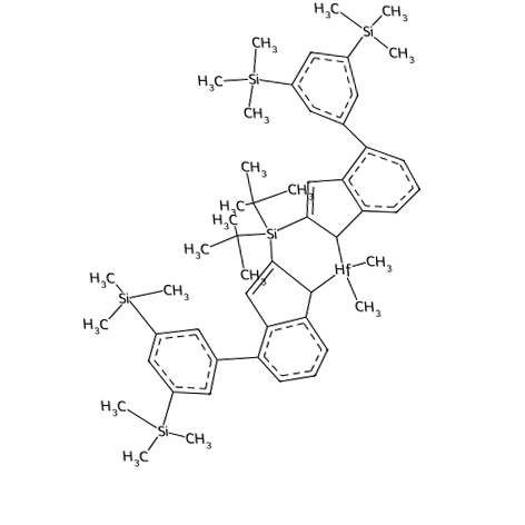 CC(C)(C)[Si]1(C(C)(C)C)C2=Cc3c(-c4cc([Si](C)(C)C)cc([Si](C)(C)C)c4)cccc3[CH]2[Hf]([CH3])([CH3])[CH]2C1=Cc1c(-c3cc([Si](C)(C)C)cc([Si](C)(C)C)c3)cccc12